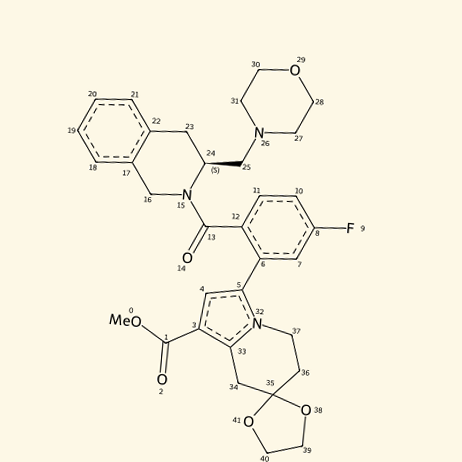 COC(=O)c1cc(-c2cc(F)ccc2C(=O)N2Cc3ccccc3C[C@H]2CN2CCOCC2)n2c1CC1(CC2)OCCO1